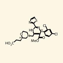 COC(=O)C1=C(CN2CCO[C@H](CCC(=O)O)C2)NC(c2nccs2)=N[C@H]1c1ccc(Cl)cc1Cl